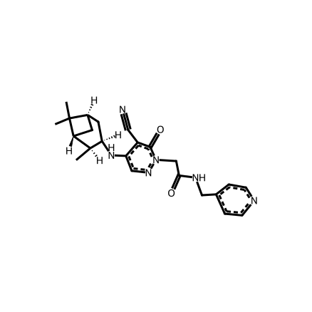 C[C@H]1[C@H]2C[C@H](C[C@H]1Nc1cnn(CC(=O)NCc3ccncc3)c(=O)c1C#N)C2(C)C